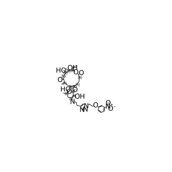 CC[C@H]1OC(=O)[C@H](C)C[C@H](C)[C@@H](O[C@@H]2O[C@H](C)C[C@H](N(C)CCc3cn(CCOc4cccc([N+](=O)[O-])c4)nn3)[C@H]2O)[C@](C)(O)C[C@@H](C)C(=O)[C@H](C)[C@@H](O)[C@]1(C)O